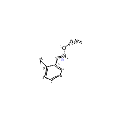 CCCCCCO/N=[C]/c1ccccc1F